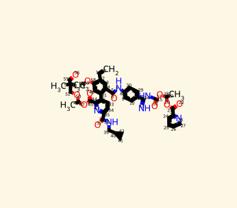 C=Cc1cc(C(=O)Nc2ccc(C(=N)NC(=O)OC(C)OC(=O)c3ccccn3)cc2)c(-c2ccc(C(=O)NCC3CC3)nc2C(=O)OC(C)OCC(C)(C)C=O)cc1OC